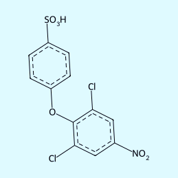 O=[N+]([O-])c1cc(Cl)c(Oc2ccc(S(=O)(=O)O)cc2)c(Cl)c1